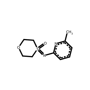 Cc1cccc(N=S2(=O)CCOCC2)n1